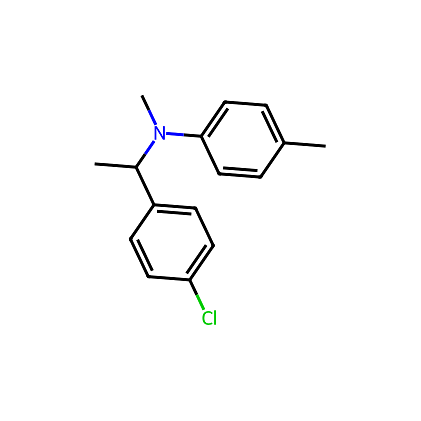 Cc1ccc(N(C)C(C)c2ccc(Cl)cc2)cc1